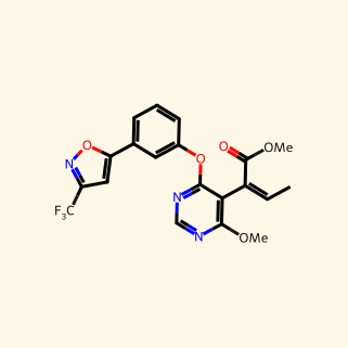 CC=C(C(=O)OC)c1c(OC)ncnc1Oc1cccc(-c2cc(C(F)(F)F)no2)c1